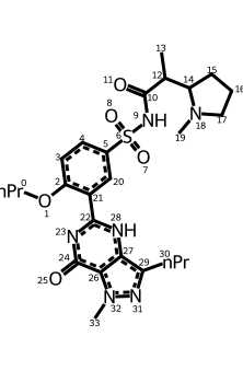 CCCOc1ccc(S(=O)(=O)NC(=O)C(C)C2CCCN2C)cc1-c1nc(=O)c2c([nH]1)c(CCC)nn2C